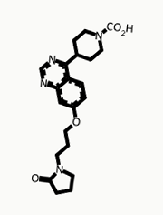 O=C(O)N1CCC(c2ncnc3cc(OCCCN4CCCC4=O)ccc23)CC1